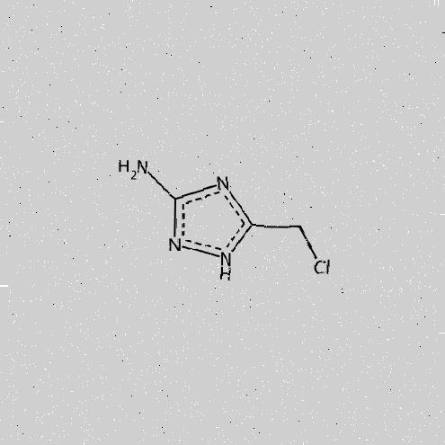 Nc1n[nH]c(CCl)n1